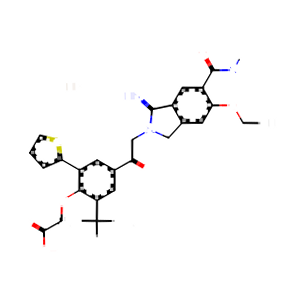 Br.CCOc1cc2c(cc1C(=O)NC)C(=N)N(CC(=O)c1cc(-c3cccs3)c(OCC(=O)O)c(C(C)(C)C)c1)C2